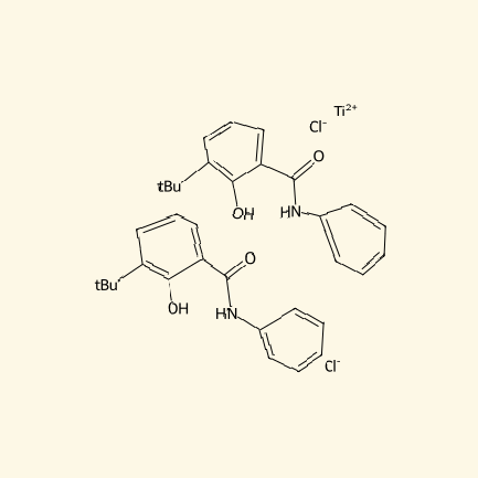 CC(C)(C)c1cccc(C(=O)Nc2ccccc2)c1O.CC(C)(C)c1cccc(C(=O)Nc2ccccc2)c1O.[Cl-].[Cl-].[Ti+2]